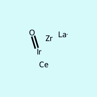 [Ce].[La].[O]=[Ir].[Zr]